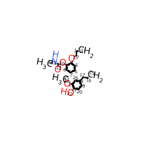 C=CCOc1ccccc1OC(=O)NC.C=CCc1ccc(O)c(OC)c1